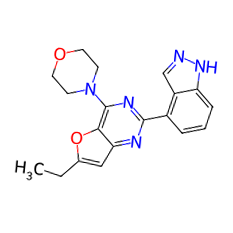 CCc1cc2nc(-c3cccc4[nH]ncc34)nc(N3CCOCC3)c2o1